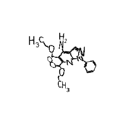 CCOC(=O)c1nc2c(cnn2-c2ccccc2)c(N)c1C(=O)OCC